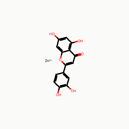 O=c1cc(-c2ccc(O)c(O)c2)oc2cc(O)cc(O)c12.[Zn+2]